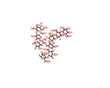 CC1C(O)[C@H](O[C@@H]2OC(CO)[C@H](O)C(O)[C@@H]2O)[C@H](CO)O[C@H]1OC[C@@H](OCC1O[C@@H](O[C@@H]2C(CO)O[C@@H](O[C@@H]3C(CO)O[C@@H](C)C(C)[C@H]3O)C(C)[C@H]2O)[C@H](O)C(O[C@H]2O[C@H](CO)[C@@H](O)C(O)C2O[C@@H]2OC(CO)[C@@H](O[C@@H]3OC(CO)[C@H](O)C(O)[C@@H]3O)C(O)[C@@H]2C)[C@@H]1O)OC(CO)[C@@H](O)[C@@H](C)O